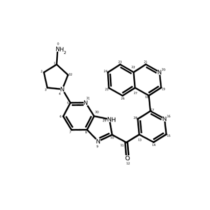 NC1CCN(c2ccc3nc(C(=O)c4ccnc(-c5cncc6ccccc56)c4)[nH]c3n2)C1